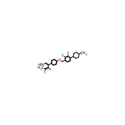 CCCC/C=C(\C(F)=C(/C)F)c1ccc(OCc2ccc(C3CCC(C)CC3)c(F)c2F)cc1